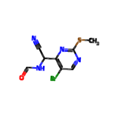 CSc1ncc(Br)c(C(C#N)NC=O)n1